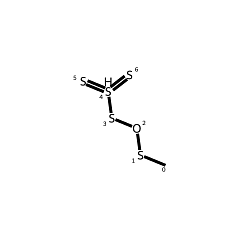 CSOS[SH](=S)=S